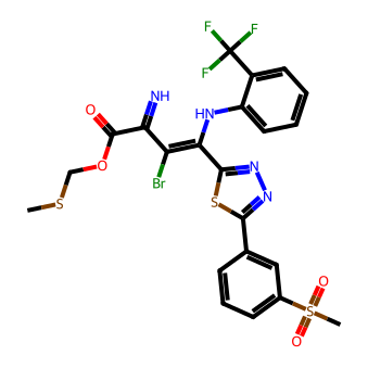 CSCOC(=O)C(=N)/C(Br)=C(\Nc1ccccc1C(F)(F)F)c1nnc(-c2cccc(S(C)(=O)=O)c2)s1